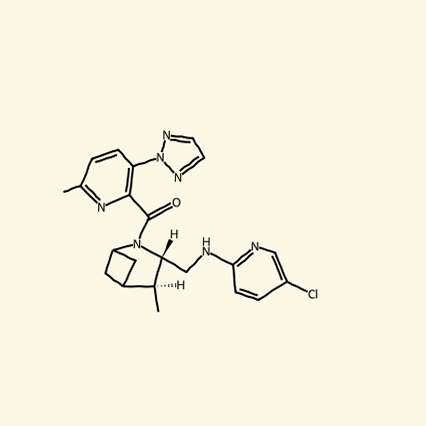 Cc1ccc(-n2nccn2)c(C(=O)N2C3CC(C3)[C@H](C)[C@H]2CNc2ccc(Cl)cn2)n1